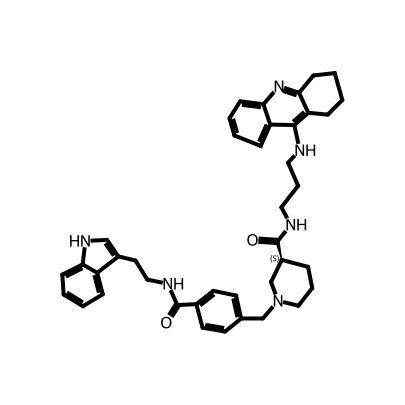 O=C(NCCc1c[nH]c2ccccc12)c1ccc(CN2CCC[C@H](C(=O)NCCCNc3c4c(nc5ccccc35)CCCC4)C2)cc1